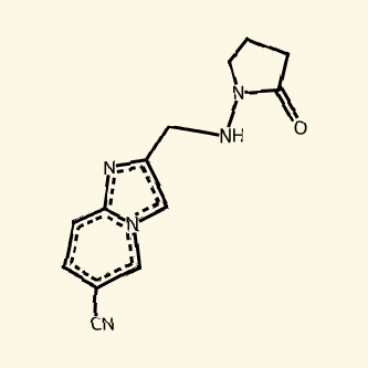 N#Cc1ccc2nc(CNN3CCCC3=O)cn2c1